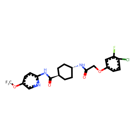 O=C(COc1ccc(Cl)c(F)c1)N[C@H]1CC[C@H](C(=O)Nc2ccc(OC(F)(F)F)cn2)CC1